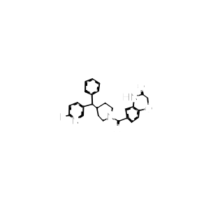 O=C1COc2ccc(C(=O)N3CCC(C(c4ccccc4)c4ccc(F)nc4)CC3)cc2N1